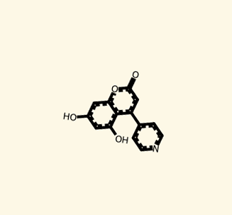 O=c1cc(-c2ccncc2)c2c(O)cc(O)cc2o1